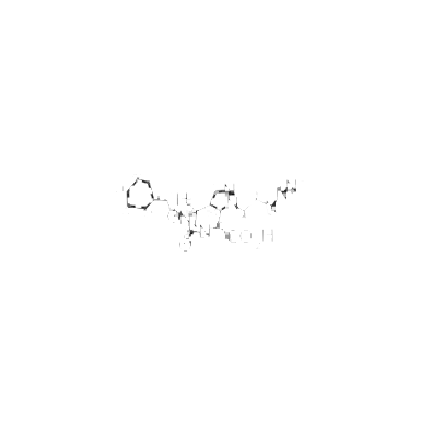 [N-]=[N+]=NCCn1ncc2c1[C@@H](C(=O)O)N1C[C@@H]2N(OCc2ccccc2)C1=O